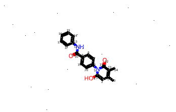 Cc1cc(O)n(-c2ccc(C(=O)Nc3ccccc3)cc2)c(=O)c1C